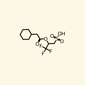 O=C(CC1CCCCC1)OC(CS(=O)(=O)O)C(F)(F)F